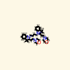 CC1(C)C(C=CN2CCOCC2)=[N+](CCCC[N+]2=C(C=CN3CCOCC3)C(C)(C)c3ccccc32)c2ccccc21